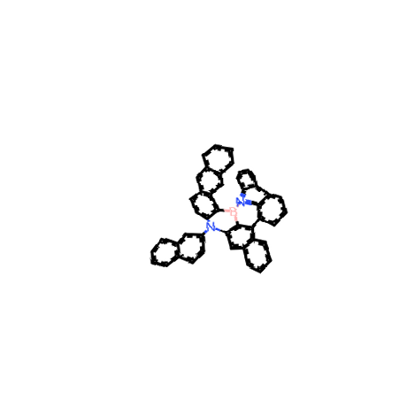 c1ccc2cc(N3c4cc5ccccc5c5c4B(c4c3ccc3cc6ccccc6cc43)n3c4ccccc4c4cccc-5c43)ccc2c1